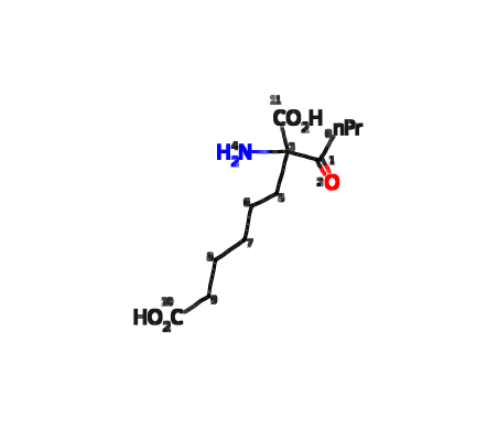 CCCC(=O)C(N)(CCCCCC(=O)O)C(=O)O